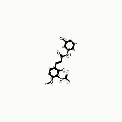 COc1ccc(C=CC(=O)Nc2cccc(Cl)c2)c(Cl)c1OC(C)=O